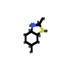 CC1=NC2CCC(C)CC2S1